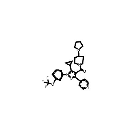 O=C(c1c(-c2ccncc2)nn(-c2cccc(OC(F)(F)F)c2)c1C1CC1)N1CCC(N2CCCC2)CC1